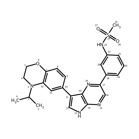 CC(C)N1CCOc2ccc(-c3c[nH]c4ncc(-c5cccc(NS(C)(=O)=O)c5)nc34)cc21